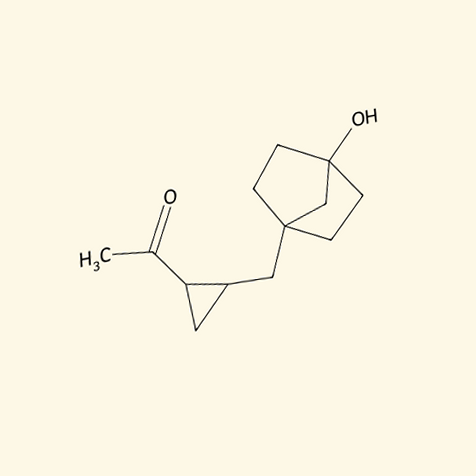 CC(=O)C1CC1CC12CCC(O)(CC1)C2